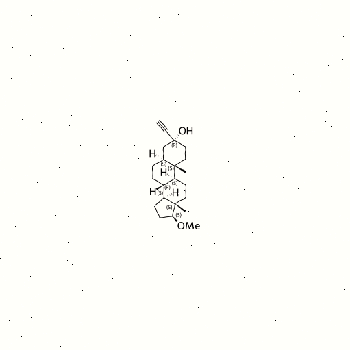 C#C[C@@]1(O)CC[C@@]2(C)[C@@H](CC[C@@H]3[C@@H]2CC[C@]2(C)[C@@H](OC)CC[C@@H]32)C1